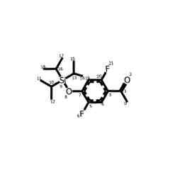 CC(=O)c1cc(F)c(O[Si](C(C)C)(C(C)C)C(C)C)cc1F